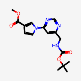 COC(=O)c1ccn(-c2cc(CNC(=O)OC(C)(C)C)ncn2)c1